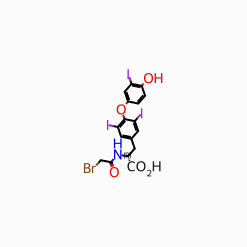 O=C(CBr)N[C@H](Cc1cc(I)c(Oc2ccc(O)c(I)c2)c(I)c1)C(=O)O